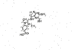 CCn1c(CNC(=O)c2nc(C=N)c(N)nc2N)[n+](CC)c2ccc(C(=O)O)cc21